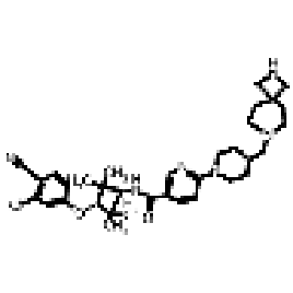 CC1(C)[C@H](NC(=O)c2ccc(N3CCC(CN4CCC5(CC4)CNC5)CC3)nc2)C(C)(C)[C@H]1Oc1ccc(C#N)c(Cl)c1